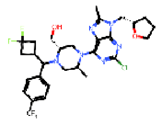 Cc1nc2c(N3C[C@@H](CO)N(C(c4ccc(C(F)(F)F)cc4)C4CC(F)(F)C4)C[C@@H]3C)nc(Cl)nc2n1C[C@@H]1CCCO1